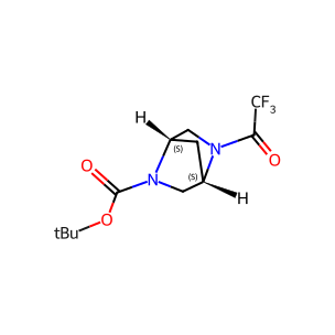 CC(C)(C)OC(=O)N1C[C@@H]2C[C@H]1CN2C(=O)C(F)(F)F